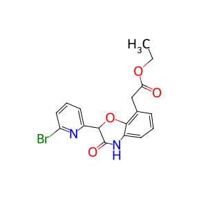 CCOC(=O)Cc1cccc2c1OC(c1cccc(Br)n1)C(=O)N2